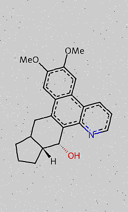 COc1cc2c3c(c4ncccc4c2cc1OC)[C@H](O)[C@@H]1CCCC1C3